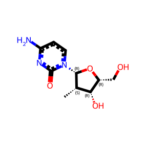 C[C@H]1[C@@H](O)[C@@H](CO)O[C@H]1n1ccc(N)nc1=O